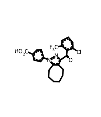 O=C(O)c1ccc(-n2nc(C(=O)c3c(Cl)cccc3C(F)(F)F)c3c2CCCCCC3)cc1